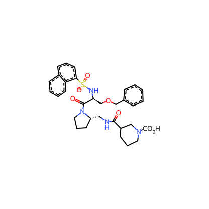 O=C(NC[C@@H]1CCCN1C(=O)[C@H](COCc1ccccc1)NS(=O)(=O)c1cccc2ccccc12)C1CCCN(C(=O)O)C1